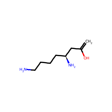 C=C(O)C[C@@H](N)CCCCN